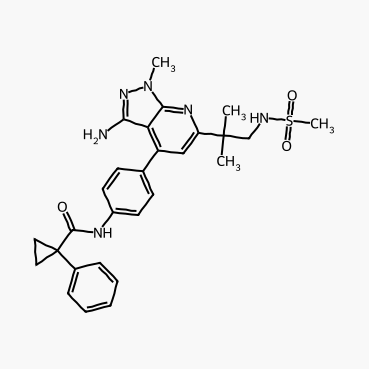 Cn1nc(N)c2c(-c3ccc(NC(=O)C4(c5ccccc5)CC4)cc3)cc(C(C)(C)CNS(C)(=O)=O)nc21